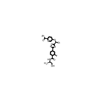 CCC(Oc1ccc(C(=O)C(C)C)nc1)c1nc(-c2ccc(C(=O)NC(C)CO)c(F)c2)no1